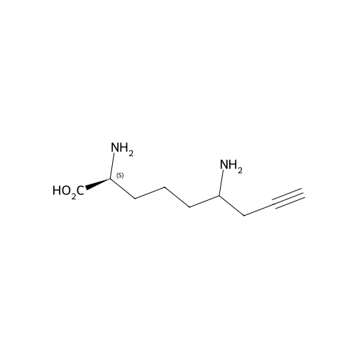 C#CCC(N)CCC[C@H](N)C(=O)O